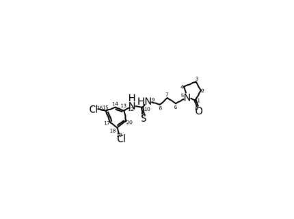 O=C1CCCN1CCCNC(=S)Nc1cc(Cl)cc(Cl)c1